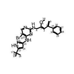 C=C(/C=C(/CNc1ncc(Br)c(Nc2cc(C(C)(C)C)[nH]n2)n1)OC)c1ccccc1